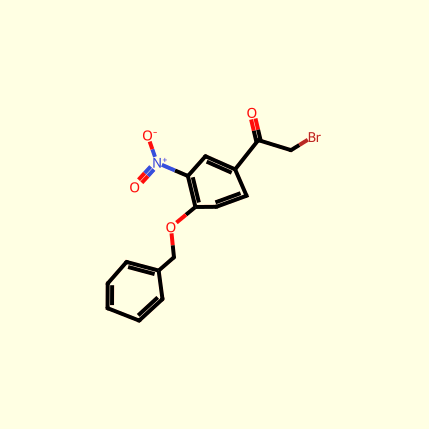 O=C(CBr)c1ccc(OCc2ccccc2)c([N+](=O)[O-])c1